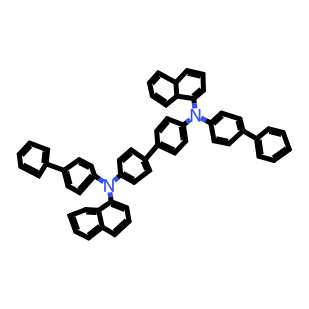 C1=CC2C=CC=C(N(c3ccc(-c4ccccc4)cc3)c3ccc(-c4ccc(N(c5ccc(-c6ccccc6)cc5)c5cccc6ccccc56)cc4)cc3)C2C=C1